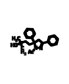 CC(=O)N1N=C(c2ccccc2)CC1(CC[Si](C)(C)O)c1ccccc1